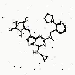 CN(Cc1cccnc1N1CCCC1)c1nc(NC2CC2)n2ncc(/C=C3\NC(=O)NC3=O)c2n1